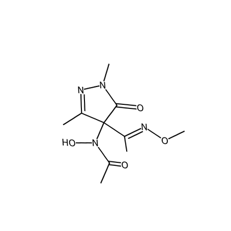 CO/N=C(\C)C1(N(O)C(C)=O)C(=O)N(C)N=C1C